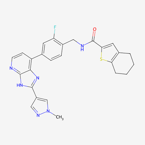 Cn1cc(-c2nc3c(-c4ccc(CNC(=O)c5cc6c(s5)CCCC6)c(F)c4)ccnc3[nH]2)cn1